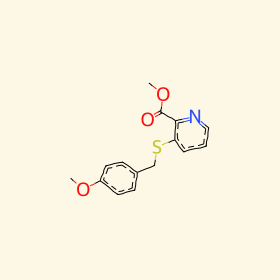 COC(=O)c1ncccc1SCc1ccc(OC)cc1